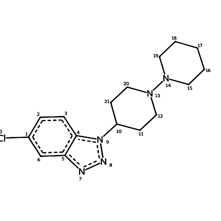 Clc1ccc2c(c1)nnn2C1CCN(N2CCCCC2)CC1